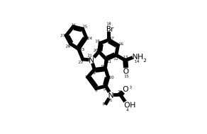 CN(C(=O)O)c1ccc2c(c1)c1c(C(N)=O)cc(Br)cc1n2Cc1ccccc1